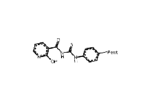 CCCCCc1ccc(NC(=S)NC(=O)c2cccnc2O)cc1